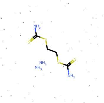 N.N.NC(=S)SCCSC(N)=S